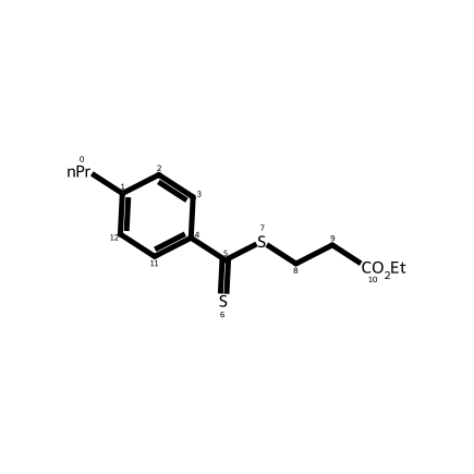 CCCc1ccc(C(=S)SCCC(=O)OCC)cc1